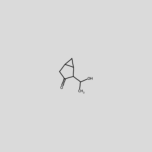 CC(O)C1C(=O)CC2CC21